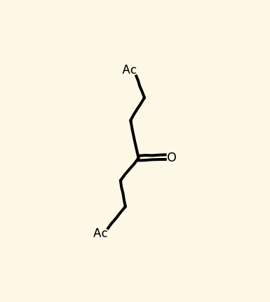 [CH2]C(=O)CCC(=O)CCC(C)=O